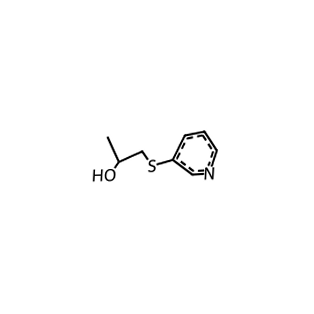 CC(O)CSc1cccnc1